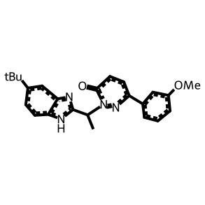 COc1cccc(-c2ccc(=O)n(C(C)c3nc4cc(C(C)(C)C)ccc4[nH]3)n2)c1